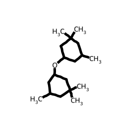 CC1CC(OC2CC(C)CC(C)(C)C2)CC(C)(C)C1